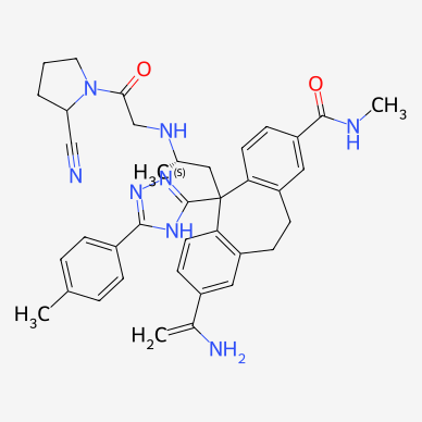 C=C(N)c1ccc2c(c1)CCc1cc(C(=O)NC)ccc1C2(C[C@H](C)NCC(=O)N1CCCC1C#N)c1nnc(-c2ccc(C)cc2)[nH]1